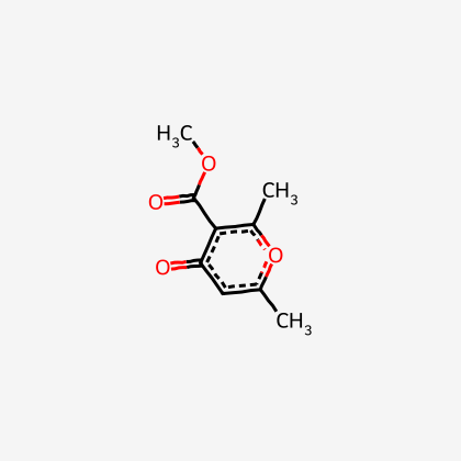 COC(=O)c1c(C)oc(C)cc1=O